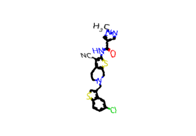 Cn1cc(C(=O)Nc2sc3c(c2C#N)CCN(Cc2csc4ccc(Cl)cc24)C3)cn1